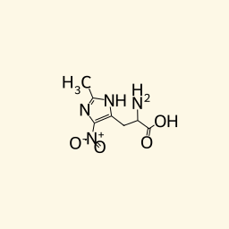 Cc1nc([N+](=O)[O-])c(CC(N)C(=O)O)[nH]1